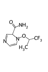 CC(ON1C=CN=CC1C(N)=O)C(F)(F)F